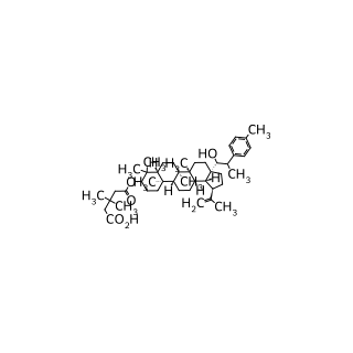 C=C(C)[C@@H]1CC[C@]2(C(O)C(C)c3ccc(C)cc3)CC[C@]3(C)[C@H](CC[C@@H]4[C@@]5(C)CC[C@H](OC(=O)CC(C)(C)CC(=O)O)C(C)(C)[C@@H]5CC[C@]43C)[C@@H]12